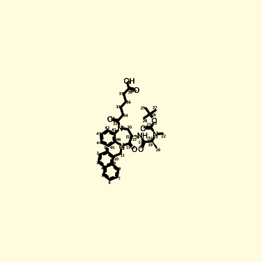 Cc1ccc2ccccc2c1CN1C(=O)[C@@H](NC(=O)[C@H](C)N(C)C(=O)OC(C)(C)C)CN(C(=O)CCCCC(=O)O)c2ccccc21